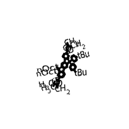 C=C1OB(c2ccc3c(c2)C(c2ccc(C(C)(C)C)cc2)(c2ccc(C(C)(C)C)cc2)c2cc4c(cc2-3)C(CCCCCCCC)(CCCCCCCC)c2cc(B3OC(=C)C(C)(C)O3)ccc2-4)OC1=C